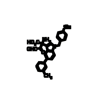 Cc1cccc(-c2ccc3c(c2)c(C(N)(C(=O)O)C(=O)C=O)cn3Cc2ccc(C(C)(C)C)cc2)c1